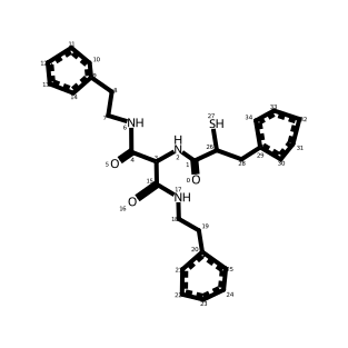 O=C(NC(C(=O)NCCc1ccccc1)C(=O)NCCc1ccccc1)C(S)Cc1ccccc1